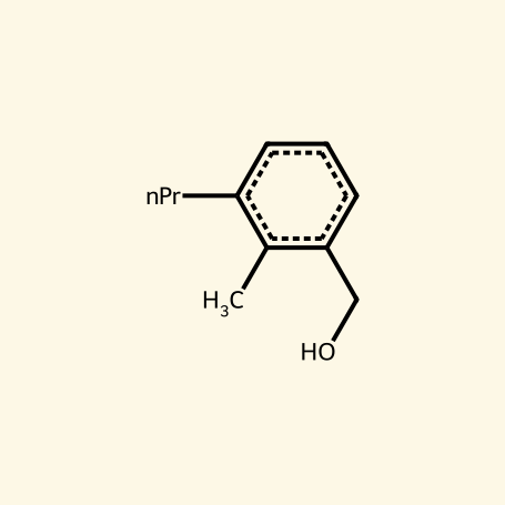 CCCc1cccc(CO)c1C